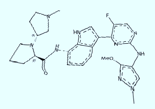 COc1nn(C)cc1Nc1ncc(F)c(-c2c[nH]c3c(NC(=O)[C@H]4CCCN4[C@@H]4CCN(C)C4)cccc23)n1